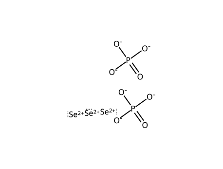 O=P([O-])([O-])[O-].O=P([O-])([O-])[O-].[Se+2].[Se+2].[Se+2]